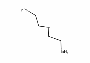 CCCCC[CH]C[CH2][InH2]